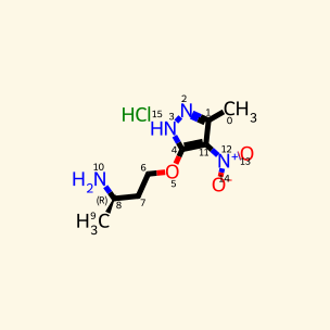 Cc1n[nH]c(OCC[C@@H](C)N)c1[N+](=O)[O-].Cl